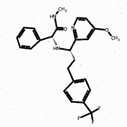 CNC(=O)[C@H](N[C@@H](CCc1ccc(C(F)(F)F)cc1)c1cc(OC)ccn1)c1ccccc1